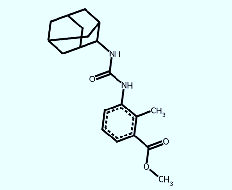 COC(=O)c1cccc(NC(=O)NC2C3CC4CC(C3)CC2C4)c1C